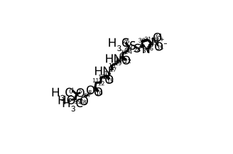 CCC(CO)OC(COC(=O)CCCC(=O)NCCCNC(=O)CCC(C)SSc1ccc([N+](=O)[O-])cn1)OC